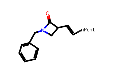 CCCCCC=CC1CN(Cc2ccccc2)C1=O